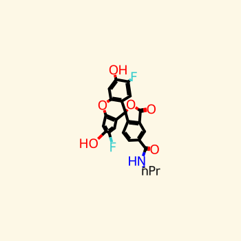 CCCNC(=O)c1ccc2c(c1)C(=O)OC21c2cc(F)c(O)cc2Oc2cc(O)c(F)cc21